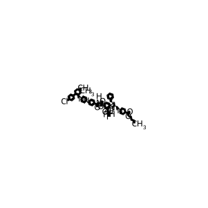 CCCCOC(=O)C1CCN(CC[C@H](CSc2ccccc2)Nc2ccc(S(=O)(=O)NC(=O)c3ccc(N4CCN(CC5=C(c6ccc(Cl)cc6)CCC(C)(C)C5)CC4)cc3)cc2S(=O)(=O)C(F)(F)F)CC1